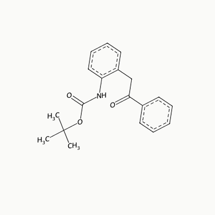 CC(C)(C)OC(=O)Nc1ccccc1CC(=O)c1ccccc1